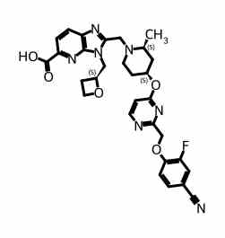 C[C@H]1C[C@@H](Oc2ccnc(COc3ccc(C#N)cc3F)n2)CCN1Cc1nc2ccc(C(=O)O)nc2n1C[C@@H]1CCO1